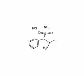 CC(N)C(c1ccccc1)S(N)(=O)=O.Cl